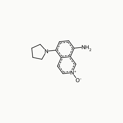 Nc1ccc(N2CCCC2)c2cc[n+]([O-])cc12